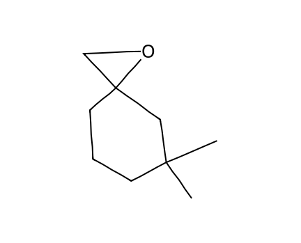 CC1(C)CCCC2(CO2)C1